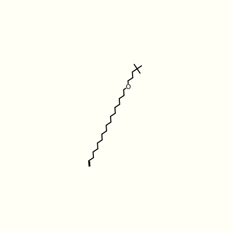 C=CCCCCCCCCCCCCCCCCOCCCC(C)(C)C